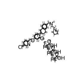 CN(CCN1CCCC1)Cc1ccc2c(c1)CCC(n1ccc(OCc3ccc(Cl)cn3)cc1=O)=C2.O=C(O)C(F)(F)F.O=C(O)C(F)(F)F.O=C(O)C(F)(F)F